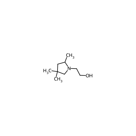 CC1CC(C)(C)CN1CCO